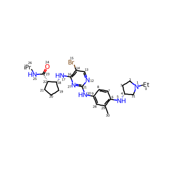 CCN1CC[C@@H](Nc2ccc(Nc3ncc(Br)c(N[C@@H]4CCC[C@@H]4C(=O)NC(C)C)n3)cc2C)C1